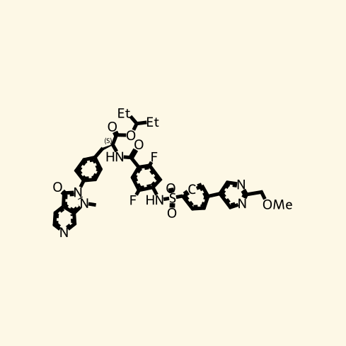 CCC(CC)OC(=O)[C@H](Cc1ccc(-n2c(=O)c3ccncc3n2C)cc1)NC(=O)c1cc(F)c(NS(=O)(=O)c2ccc(-c3cnc(COC)nc3)cc2)cc1F